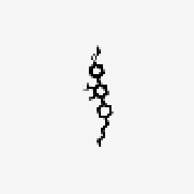 CCCCCC1CCC(c2ccc(-c3ccc(OCC)cc3)c(Cl)c2F)CC1